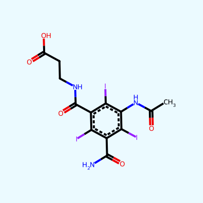 CC(=O)Nc1c(I)c(C(N)=O)c(I)c(C(=O)NCCC(=O)O)c1I